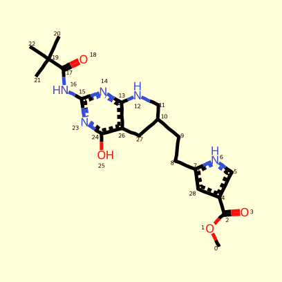 COC(=O)c1c[nH]c(CCC2CNc3nc(NC(=O)C(C)(C)C)nc(O)c3C2)c1